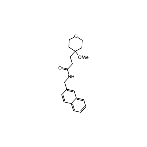 COC1(CCC(=O)NCc2ccc3ccccc3c2)CCOCC1